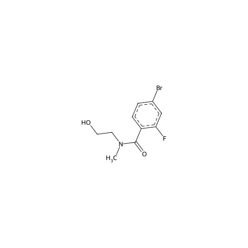 CN(CCO)C(=O)c1ccc(Br)cc1F